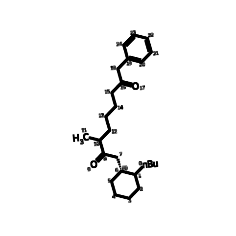 CCCCC1CCCC[C@@H]1CC(=O)C(C)CCCCC(=O)Cc1ccccc1